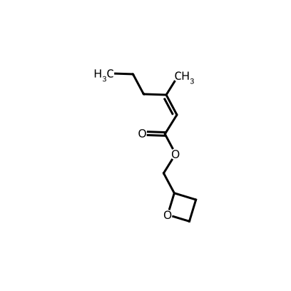 CCCC(C)=CC(=O)OCC1CCO1